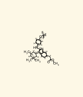 COC(=O)Cc1ccc2c(c1)nc(Nc1ccc(OC(F)(F)F)cc1)n2C1CC(C)CC(C)(C)C1